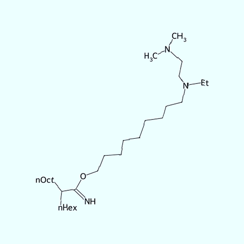 CCCCCCCCC(CCCCCC)C(=N)OCCCCCCCCCN(CC)CCN(C)C